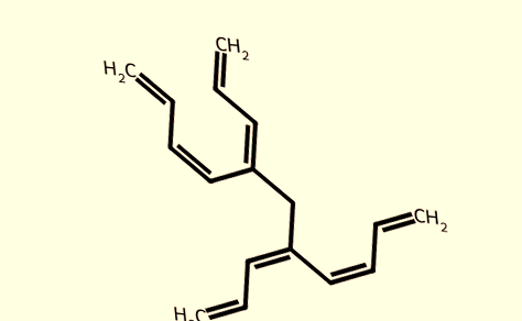 C=C/C=C\C(=C/C=C)CC(/C=C\C=C)=C/C=C